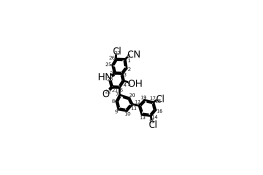 N#Cc1cc2c(O)c(-c3cccc(-c4cc(Cl)cc(Cl)c4)c3)c(=O)[nH]c2cc1Cl